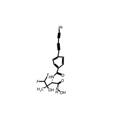 CC(C)C#CC#Cc1ccc(C(=O)N[C@H](C(=O)NO)[C@](C)(O)C(F)F)cc1